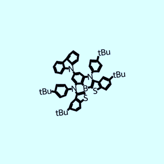 CC(C)(C)c1ccc(N2c3cc(-n4c5ccccc5c5ccccc54)cc4c3B(c3sc5ccc(C(C)(C)C)cc5c32)c2sc3ccc(C(C)(C)C)cc3c2N4c2ccc(C(C)(C)C)cc2)cc1